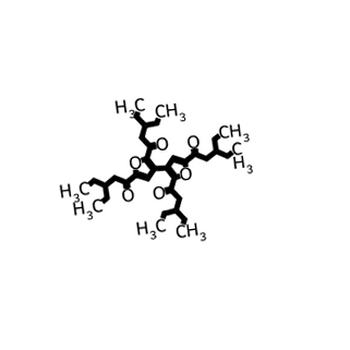 CCC(CC)CC(=O)c1cc(-c2cc(C(=O)CC(CC)CC)oc2C(=O)CC(CC)CC)c(C(=O)CC(CC)CC)o1